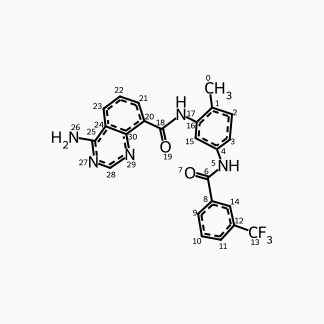 Cc1ccc(NC(=O)c2cccc(C(F)(F)F)c2)cc1NC(=O)c1cccc2c(N)ncnc12